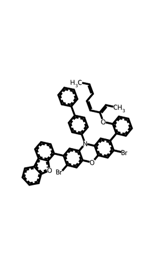 C\C=C/C=C\C(=C\C)Oc1ccccc1-c1cc2c(cc1Br)Oc1cc(Br)c(-c3cccc4c3oc3ccccc34)cc1N2c1ccc(-c2ccccc2)cc1